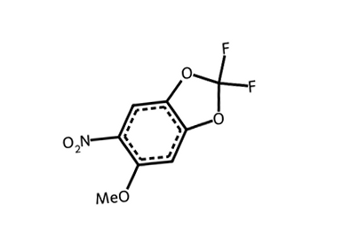 COc1cc2c(cc1[N+](=O)[O-])OC(F)(F)O2